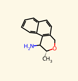 C[C@H]1OCc2ccc3ccccc3c2C1N